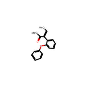 COC=C(C(=O)OC)c1ccccc1Oc1ccccc1